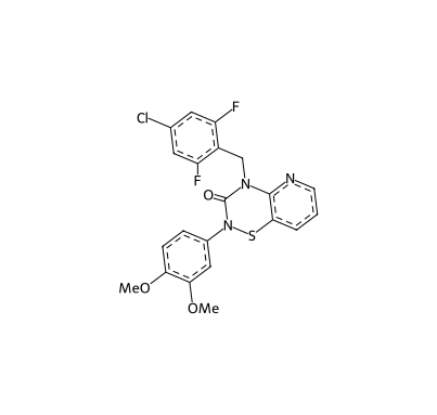 COc1ccc(N2Sc3cccnc3N(Cc3c(F)cc(Cl)cc3F)C2=O)cc1OC